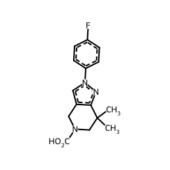 CC1(C)CN(C(=O)O)Cc2cn(-c3ccc(F)cc3)nc21